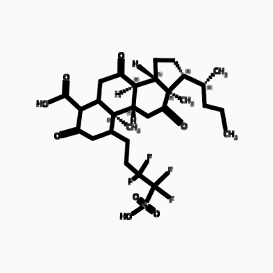 CCC[C@@H](C)[C@H]1CC[C@H]2[C@@H]3C(=O)CC4C(C(=O)O)C(=O)CC(CCC(F)(F)C(F)(F)S(=O)(=O)O)[C@]4(C)[C@H]3CC(=O)[C@]12C